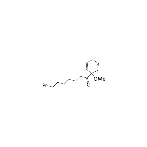 COC1(C(=O)CCCCCCC(C)C)C=CCC=C1